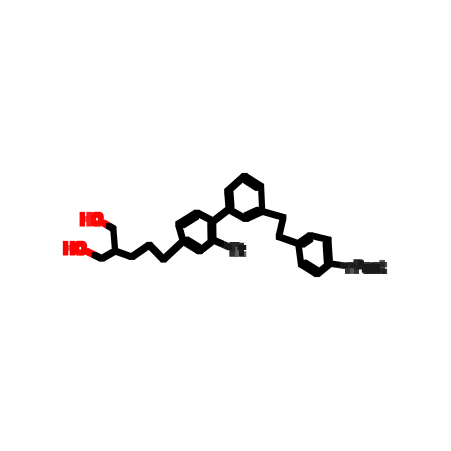 CCCCCc1ccc(CCc2cccc(-c3ccc(CCCC(CO)CO)cc3CC)c2)cc1